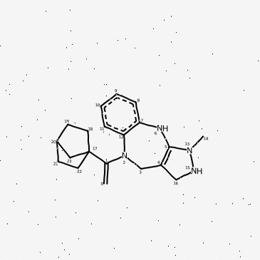 C=C(N1CC2=C(Nc3ccccc31)N(C)NC2)C12CCC(CC1)C2